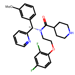 COc1cccc([C@@H](c2ccccn2)N(CCOc2ccc(F)cc2F)C(=O)C2CCNCC2)c1